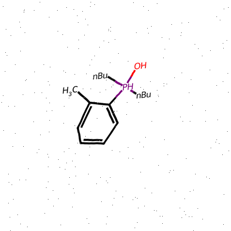 CCCC[PH](O)(CCCC)c1ccccc1C